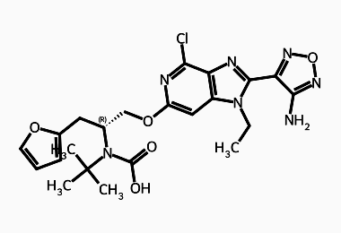 CCn1c(-c2nonc2N)nc2c(Cl)nc(OC[C@@H](Cc3ccco3)N(C(=O)O)C(C)(C)C)cc21